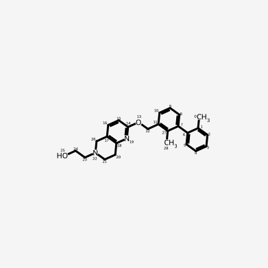 Cc1ccccc1-c1cccc(COc2ccc3c(n2)CCN(CCO)C3)c1C